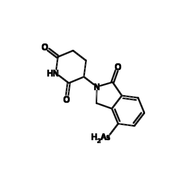 O=C1CCC(N2Cc3c([AsH2])cccc3C2=O)C(=O)N1